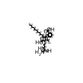 CCCCCCCCCCCC(=O)N(CC)[C@@H](CCCNC(=N)N)C(=O)O.O=C(O)c1ccccc1